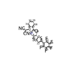 N#CC(C#N)=C1/C(=C/c2cc3sc(-c4c(F)c(F)c(F)c(F)c4F)cc3s2)C(=O)c2ccccc21